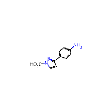 Nc1ccc(-c2ccn(C(=O)O)n2)cc1